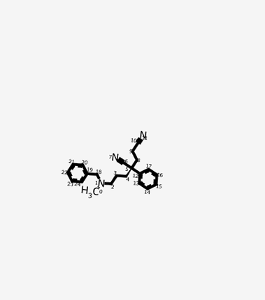 CN(CCC[C@@](C#N)(CCC#N)c1ccccc1)Cc1ccccc1